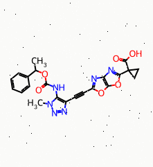 CC(OC(=O)Nc1c(C#Cc2nc3nc(C4(C(=O)O)CC4)oc3o2)nnn1C)c1ccccc1